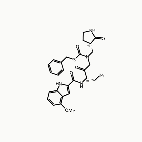 COc1cccc2[nH]c(C(=O)N[C@@H](CC(C)C)C(=O)CN(C[C@@H]3CCNC3=O)C(=O)SCc3ccccc3)cc12